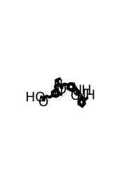 CCN(Cc1cc(CCC(=O)O)ccn1)C(=O)Cc1ccc(NC(=O)Nc2ccccc2C)cc1